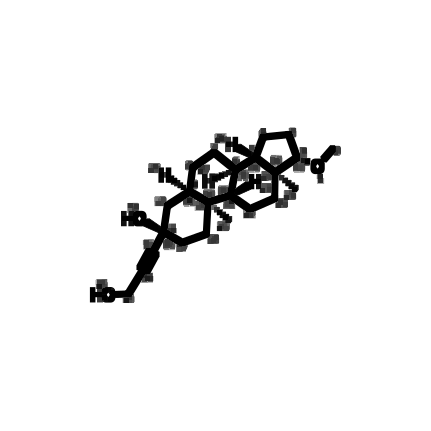 CO[C@H]1CC[C@H]2[C@@H]3CC[C@@H]4C[C@@](O)(C#CCO)CC[C@]4(C)[C@H]3CC[C@]12C